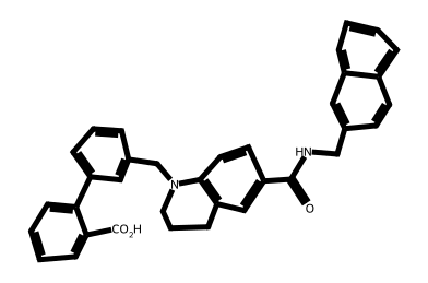 O=C(NCc1ccc2ccccc2c1)c1ccc2c(c1)CCCN2Cc1cccc(-c2ccccc2C(=O)O)c1